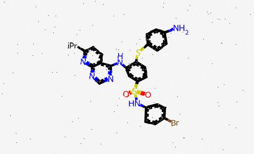 CC(C)c1ccc2c(Nc3cc(S(=O)(=O)Nc4ccc(Br)cc4)ccc3Sc3ccc(N)cc3)ncnc2n1